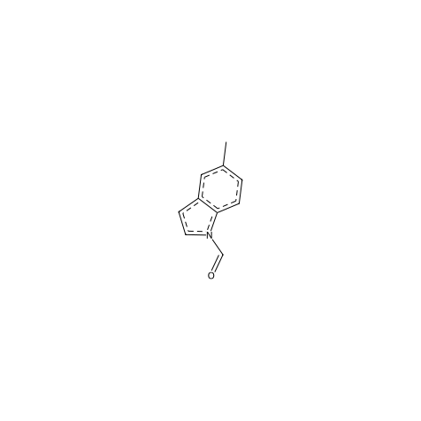 Cc1ccc2c(ccn2C=O)c1